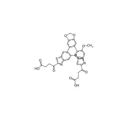 COc1cc2nc(C(=O)CCC(=O)O)sc2cc1-c1cc2c(cc1-c1cc3sc(C(=O)CCC(=O)O)nc3cc1OC)OCO2